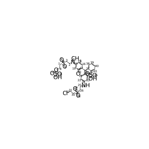 CN(CCS(=O)(=O)CCOS(=O)(=O)O)c1ccc2c(c1)Oc1cc(NCCS(=O)(=O)CCCl)ccc1C2c1ccccc1S(=O)(=O)O